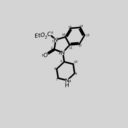 CCOC(=O)n1c(=O)n(C2CCNCC2)c2ccccc21